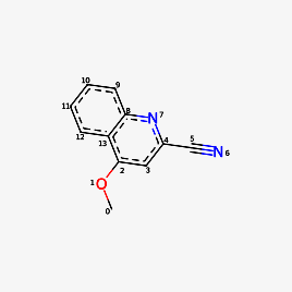 COc1cc(C#N)nc2ccccc12